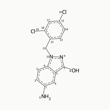 Nc1ccc2c(c1)c(O)nn2Cc1ccc(Cl)cc1Cl